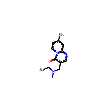 CN(Cc1cnc2cc(C(C)(C)C)ccn2c1=O)CC(C)(C)C